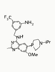 COc1cc2nc(C)nc(NCc3cc(N)cc(C(F)(F)F)c3)c2cc1P1CCN(C(C)C)CC1